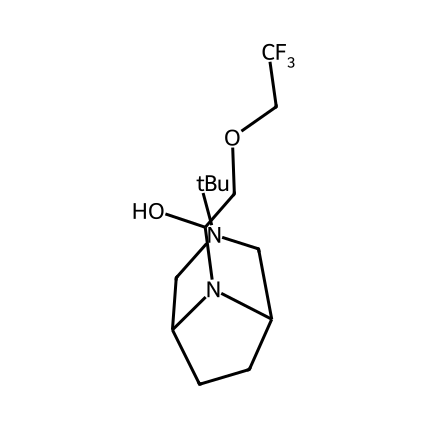 CC(C)(C)N1CC2CCC(C1)N2C(O)COCC(F)(F)F